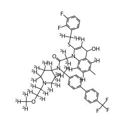 [2H]C1=C(SC([2H])([2H])c2cccc(F)c2F)N(C([2H])([2H])C(=O)N(C([2H])([2H])c2ccc(-c3ccc(C(F)(F)F)cc3)cc2)C2([2H])C([2H])([2H])C([2H])([2H])N(C([2H])([2H])C([2H])([2H])OC([2H])([2H])[2H])C([2H])([2H])C2([2H])[2H])c2c([2H])c([2H])c(C)c([2H])c2C1O